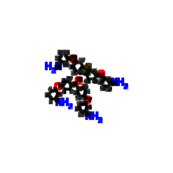 Nc1cccc(Oc2ccc(C(=O)c3ccc(Oc4cccc(N)c4)cc3)cc2)c1.Nc1cccc(Oc2cccc(Sc3cccc(Oc4cccc(N)c4)c3)c2)c1